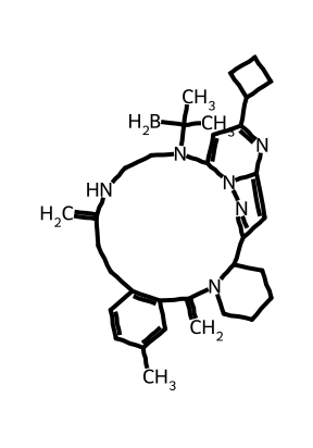 BC(C)(C)N1CCNC(=C)CCc2ccc(C)cc2C(=C)N2CCCCC2c2cc3nc(C4CCC4)cc1n3n2